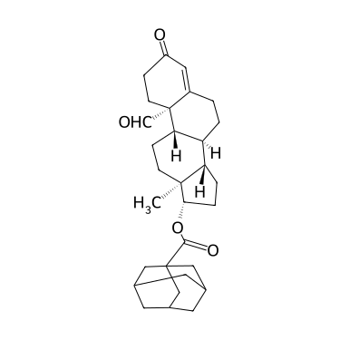 C[C@]12CC[C@H]3[C@@H](CCC4=CC(=O)CC[C@@]43C=O)[C@@H]1CC[C@@H]2OC(=O)C12CC3CC(CC(C3)C1)C2